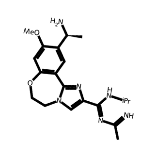 COc1cc2c(cc1[C@H](C)N)-c1nc(/C(=N/C(C)=N)NC(C)C)cn1CCO2